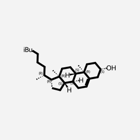 CCC(C)CCC[C@@H](C)[C@H]1CC[C@H]2[C@@H]3CC=C4C[C@@H](O)CC[C@]4(C)[C@H]3CC[C@]12C